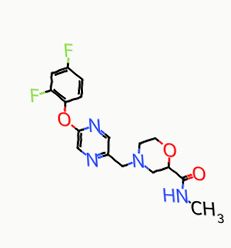 CNC(=O)C1CN(Cc2cnc(Oc3ccc(F)cc3F)cn2)CCO1